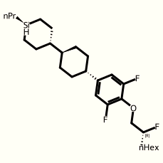 CCCCCC[C@@H](F)COc1c(F)cc([C@H]2CC[C@H]([C@H]3CC[Si@H](CCC)CC3)CC2)cc1F